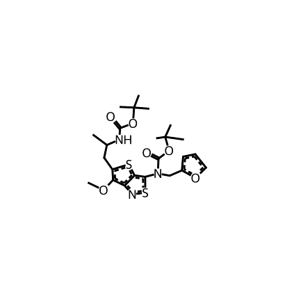 COc1c(CC(C)NC(=O)OC(C)(C)C)sc2c(N(Cc3ccco3)C(=O)OC(C)(C)C)snc12